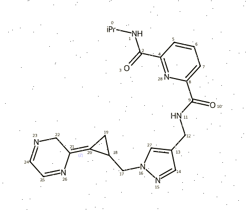 CC(C)NC(=O)c1cccc(C(=O)NCc2cnn(CC3C/C3=C3\CN=CC=N3)c2)n1